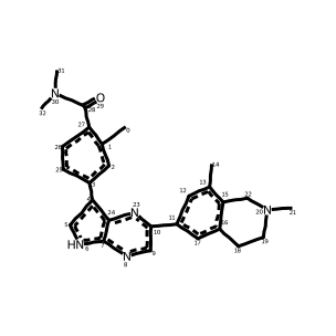 Cc1cc(-c2c[nH]c3ncc(-c4cc(C)c5c(c4)CCN(C)C5)nc23)ccc1C(=O)N(C)C